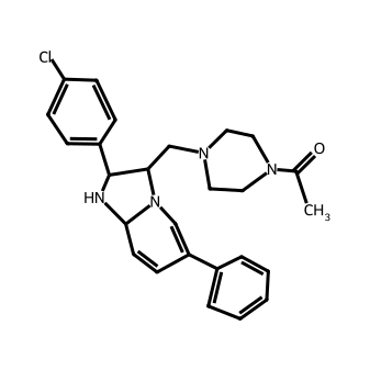 CC(=O)N1CCN(CC2C(c3ccc(Cl)cc3)NC3C=CC(c4ccccc4)=CN32)CC1